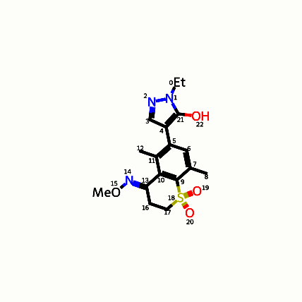 CCn1ncc(-c2cc(C)c3c(c2C)/C(=N/OC)CCS3(=O)=O)c1O